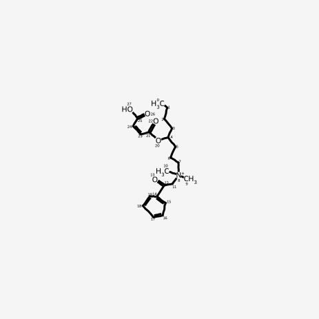 CCCCC(CCC[N+](C)(C)CC(=O)c1ccccc1)OC(=O)/C=C\C(=O)O